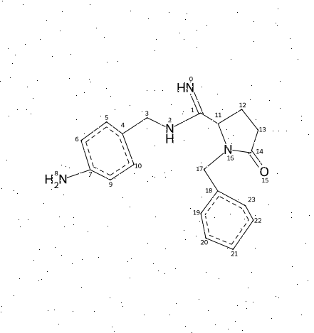 N=C(NCc1ccc(N)cc1)C1CCC(=O)N1Cc1ccccc1